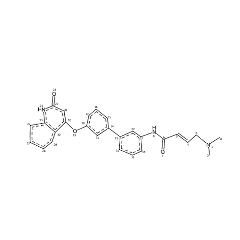 CN(C)CC=CC(=O)Nc1cccc(-c2cccc(Oc3cc(=O)[nH]c4ccccc34)c2)c1